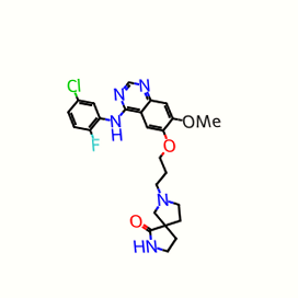 COc1cc2ncnc(Nc3cc(Cl)ccc3F)c2cc1OCCCN1CCC2(CCNC2=O)C1